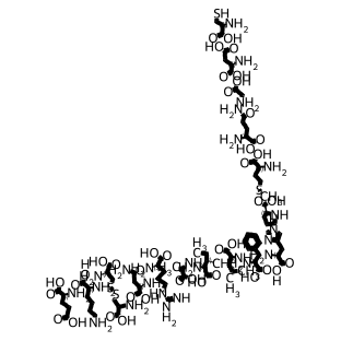 CC(C)C[C@H](N)C(=O)O.CC[C@H](C)[C@H](N)C(=O)O.CSCC[C@H](N)C(=O)O.C[C@H](N)C(=O)O.N=C(N)NCCC[C@H](N)C(=O)O.NC(=O)CC[C@H](N)C(=O)O.NC(=O)C[C@H](N)C(=O)O.NC(CSSC[C@H](N)C(=O)O)C(=O)O.NCC(=O)O.NCCCC[C@H](N)C(=O)O.N[C@@H](CC(=O)O)C(=O)O.N[C@@H](CCC(=O)O)C(=O)O.N[C@@H](CS)C(=O)O.N[C@@H](Cc1c[nH]cn1)C(=O)O.N[C@@H](Cc1ccccc1)C(=O)O.O=C(O)[C@@H]1CCCN1